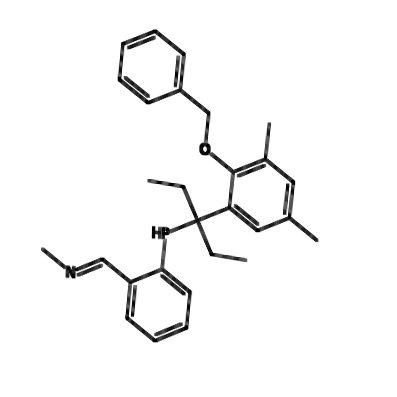 CCC(CC)(Pc1ccccc1/C=N/C)c1cc(C)cc(C)c1OCc1ccccc1